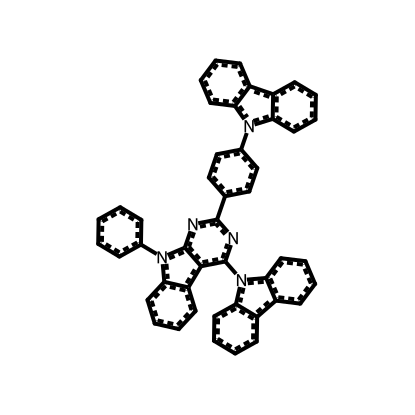 c1ccc(-n2c3ccccc3c3c(-n4c5ccccc5c5ccccc54)nc(-c4ccc(-n5c6ccccc6c6ccccc65)cc4)nc32)cc1